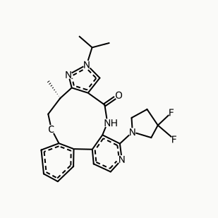 CC(C)n1cc2c(n1)[C@@H](C)CCc1ccccc1-c1ccnc(N3CCC(F)(F)C3)c1NC2=O